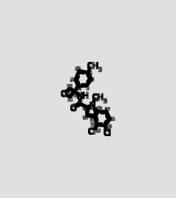 Cc1ccc(C2(NC(=O)c3cc4c(Cl)c(Cl)ccc4n3C)COC2)cc1